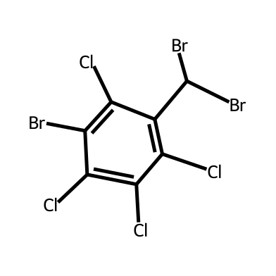 Clc1c(Cl)c(Br)c(Cl)c(C(Br)Br)c1Cl